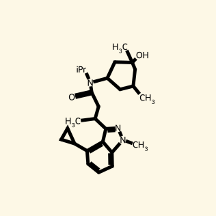 CC1CC(N(C(=O)CC(C)c2nn(C)c3cccc(C4CC4)c23)C(C)C)CC(C)(O)C1